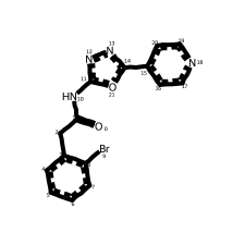 O=C(Cc1ccccc1Br)Nc1nnc(-c2ccncc2)o1